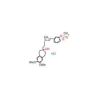 COc1cc2c(cc1OC)CCC(O)(CCCN(C)CCc1cccc(OS(C)(=O)=O)c1)CC2.Cl